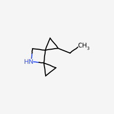 CCC1CC12CNC21CC1